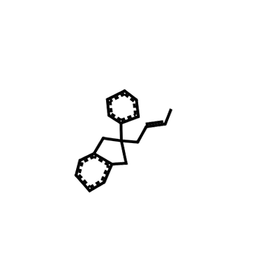 C/C=C/CC1(c2ccccc2)Cc2ccccc2C1